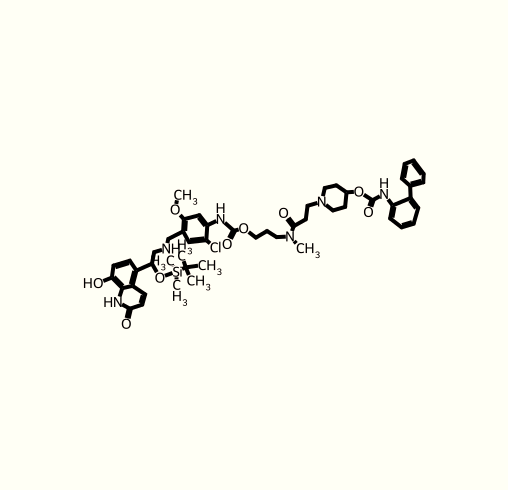 COc1cc(NC(=O)OCCCN(C)C(=O)CCN2CCC(OC(=O)Nc3ccccc3-c3ccccc3)CC2)c(Cl)cc1CNCC(O[Si](C)(C)C(C)(C)C)c1ccc(O)c2[nH]c(=O)ccc12